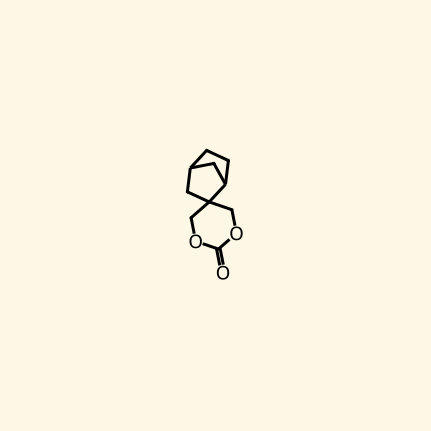 O=C1OCC2(CO1)CC1CCC2C1